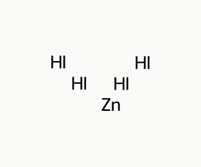 I.I.I.I.[Zn]